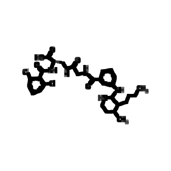 CCCCC1C(C)CCNC1Nc1cccc(C(=O)NCC(=O)NC[C@H](NC(=O)c2c(Cl)cccc2Cl)C(=O)O)c1